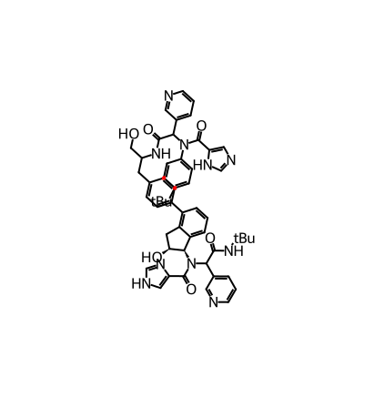 CC(C)(C)NC(=O)C(c1cccnc1)N(C(=O)c1c[nH]cn1)[C@@H]1c2cccc(-c3ccc(CC(CO)NC(=O)C(c4cccnc4)N(C(=O)c4cnc[nH]4)c4ccc(C(C)(C)C)cc4)cc3)c2C[C@@H]1O